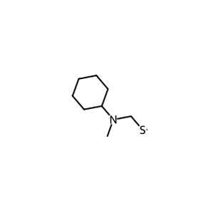 CN(C[S])C1CCCCC1